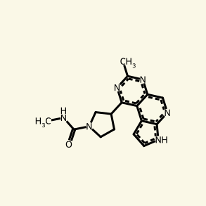 CNC(=O)N1CCC(c2nc(C)nc3cnc4[nH]ccc4c23)C1